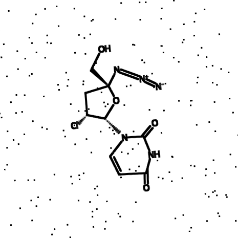 [N-]=[N+]=N[C@@]1(CO)C[C@@H](Cl)[C@@H](n2ccc(=O)[nH]c2=O)O1